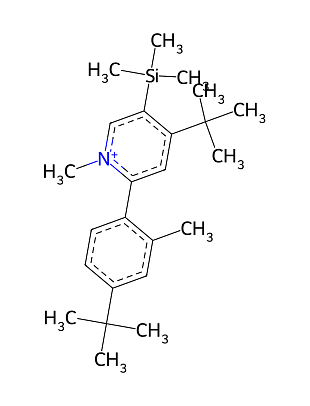 Cc1cc(C(C)(C)C)ccc1-c1cc(C(C)(C)C)c([Si](C)(C)C)c[n+]1C